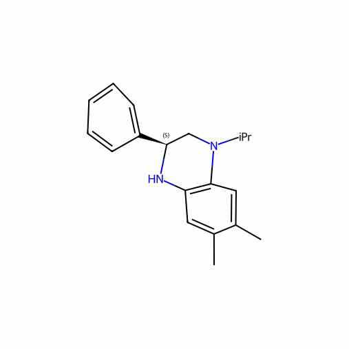 Cc1cc2c(cc1C)N(C(C)C)C[C@H](c1ccccc1)N2